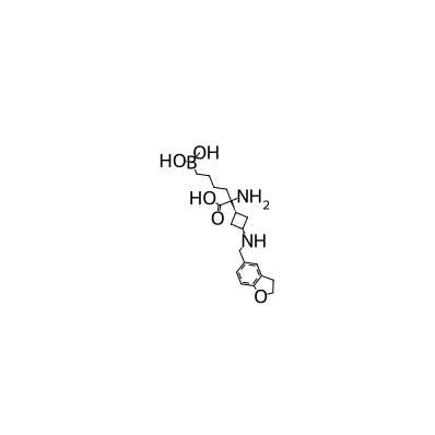 NC(CCCCB(O)O)(C(=O)O)[C@H]1C[C@@H](NCc2ccc3c(c2)CCO3)C1